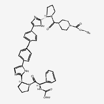 COC(=O)N[C@@H](C(=O)N1CCC[C@H]1c1ncc(-c2ccc(-c3ccc(-c4cnc([C@@H]5CCCN5C(=O)C5CCN(C(=O)OC(C)(C)C)CC5)[nH]4)cc3)cc2)[nH]1)c1ccccc1